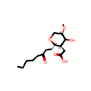 CCCCCC(=O)CC[C@@H]1OC[C@@H](OC)C(O)[C@H]1CC(=O)O